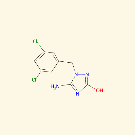 Nc1nc(O)nn1Cc1cc(Cl)cc(Cl)c1